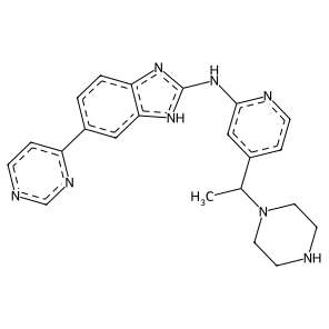 CC(c1ccnc(Nc2nc3ccc(-c4ccncn4)cc3[nH]2)c1)N1CCNCC1